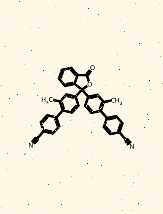 Cc1cc(C2(c3ccc(-c4ccc(C#N)cc4)c(C)c3)OC(=O)c3ccccc32)ccc1-c1ccc(C#N)cc1